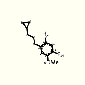 COc1cc(CCCC2CC2)c(Br)cc1F